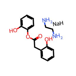 NCCN.O=C(Cc1ccccc1O)Oc1ccccc1O.[NaH]